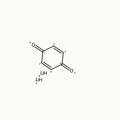 O=C1C=CC(=O)C=C1.[LiH].[LiH]